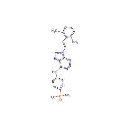 Cc1cccc(N)c1/C=C/n1cnc2c(Nc3ccc(P(C)(C)=O)cc3)ncnc21